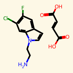 NCCn1ccc2cc(F)c(Cl)cc21.O=C(O)/C=C/C(=O)O